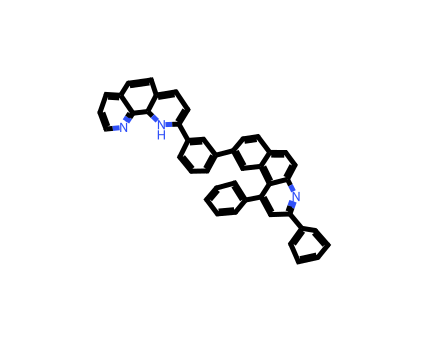 C1=Cc2cccnc2C2NC(c3cccc(-c4ccc5ccc6nc(-c7ccccc7)cc(-c7ccccc7)c6c5c4)c3)=CC=C12